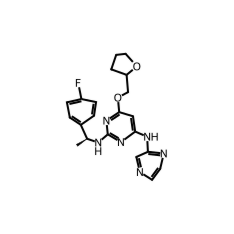 C[C@H](Nc1nc(Nc2cnccn2)cc(OCC2CCCO2)n1)c1ccc(F)cc1